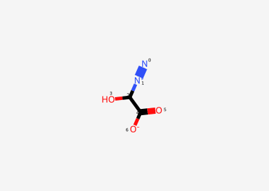 N#[N+]C(O)C(=O)[O-]